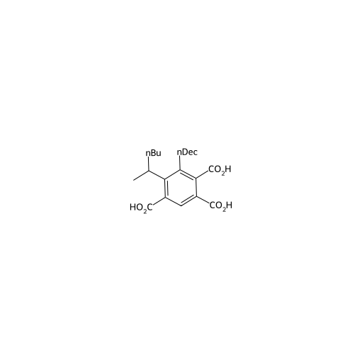 CCCCCCCCCCc1c(C(=O)O)c(C(=O)O)cc(C(=O)O)c1C(C)CCCC